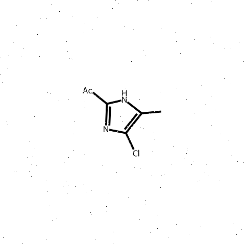 CC(=O)c1nc(Cl)c(C)[nH]1